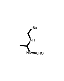 CC(N[C]=O)NCC(C)(C)C